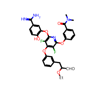 CCOC(C=O)Cc1cccc(Oc2c(F)c(Oc3cccc(C(=O)N(C)C)c3)nc(Oc3cc(C(=N)N)ccc3O)c2F)c1